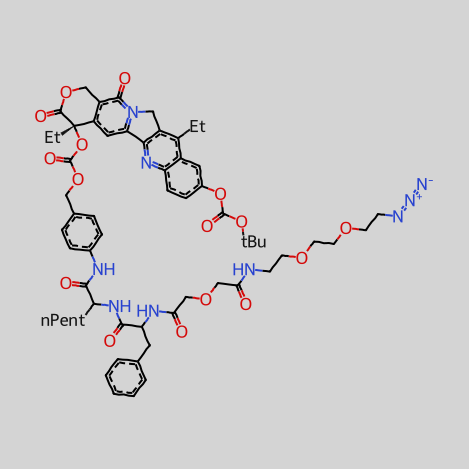 CCCCCC(NC(=O)C(Cc1ccccc1)NC(=O)COCC(=O)NCCOCCOCCN=[N+]=[N-])C(=O)Nc1ccc(COC(=O)O[C@]2(CC)C(=O)OCc3c2cc2n(c3=O)Cc3c-2nc2ccc(OC(=O)OC(C)(C)C)cc2c3CC)cc1